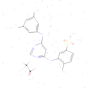 CNS(=O)(=O)c1ccc(SC)c(Nc2cc(Nc3cc(OC)cc(OC)c3)ncn2)c1.O=C(O)C(F)(F)F